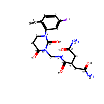 COc1ccc(I)cc1N1CCC(=O)N(CNC(=O)C(CC(N)=O)CC(N)=O)C1=O